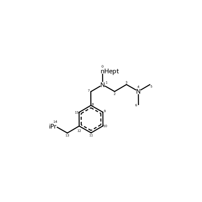 CCCCCCCN(CCN(C)C)Cc1cccc(CC(C)C)c1